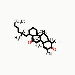 CCOC(=O)CCCC(C)(C)CC1CCC[C@]2(C)C1C(=O)C=C1[C@@]3(C)C=C(C#N)C(=O)C(C)[C@@H]3CC[C@]12C